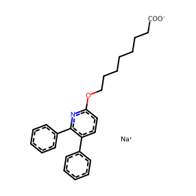 O=C([O-])CCCCCCCOc1ccc(-c2ccccc2)c(-c2ccccc2)n1.[Na+]